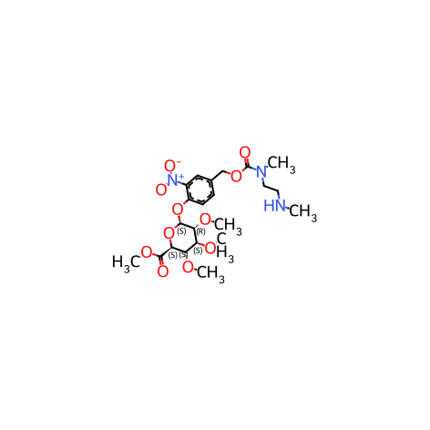 CNCCN(C)C(=O)OCc1ccc(O[C@@H]2O[C@H](C(=O)OC)[C@@H](OC)[C@H](OC)[C@H]2OC)c([N+](=O)[O-])c1